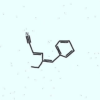 CCC(C=CC#N)=Cc1ccccc1